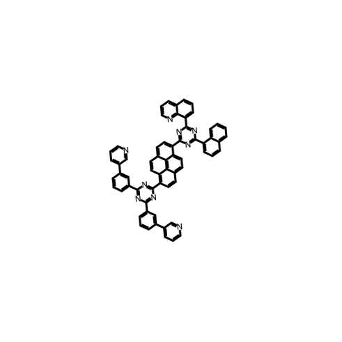 c1cncc(-c2cccc(-c3nc(-c4cccc(-c5cccnc5)c4)nc(-c4ccc5ccc6c(-c7nc(-c8cccc9ccccc89)nc(-c8cccc9cccnc89)n7)ccc7ccc4c5c76)n3)c2)c1